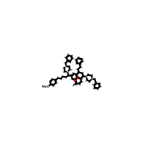 COc1ccc(CCCCC(c2ccc(F)c(C(CCc3ccccc3)CC(c3ccc(F)cc3)N3CCN(Cc4ccccc4)CC3)c2)N2CCN(Cc3ccccc3)CC2)cc1